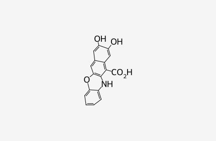 O=C(O)c1c2c(cc3cc(O)c(O)cc13)Oc1ccccc1N2